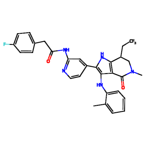 Cc1ccccc1Nc1c(-c2ccnc(NC(=O)Cc3ccc(F)cc3)c2)[nH]c2c1C(=O)N(C)CC2CC(F)(F)F